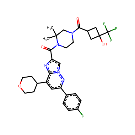 CC1(C)CN(C(=O)C2CC(O)(C(F)(F)F)C2)CCN1C(=O)c1cn2nc(-c3ccc(F)cc3)cc(C3CCOCC3)c2n1